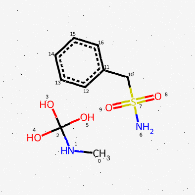 CNC(O)(O)O.NS(=O)(=O)Cc1ccccc1